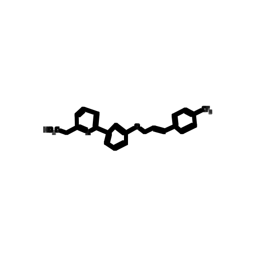 O=C(O)Cc1cccc(-c2cccc(OCC=Cc3ccc(C(F)(F)F)cc3)c2)n1